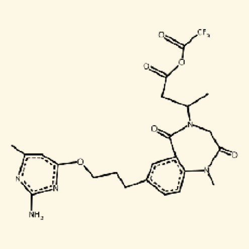 Cc1cc(OCCCc2ccc3c(c2)C(=O)N(C(C)CC(=O)OC(=O)C(F)(F)F)CC(=O)N3C)nc(N)n1